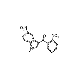 Cn1cc(C(=O)c2ccccc2[N+](=O)[O-])c2cc([N+](=O)[O-])ccc21